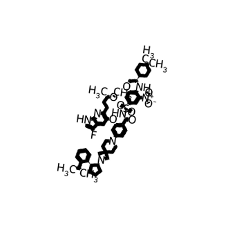 COC(C)CCc1nc2[nH]cc(F)c2cc1Oc1cc(N2CCC3(CC2)CN([C@@H]2CCC[C@@H]2c2ccccc2C(C)C)C3)ccc1C(=O)NS(=O)(=O)c1cc2c(c([N+](=O)[O-])c1)N[C@@H](C1CCC(C)(C)CC1)CO2